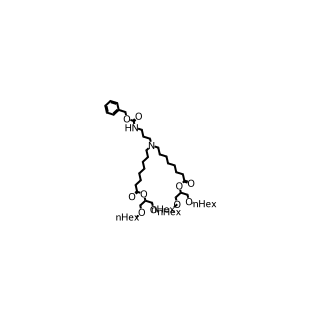 CCCCCCOCC(COCCCCCC)OC(=O)CCCCCCCN(CCCCCCCC(=O)OC(COCCCCCC)COCCCCCC)CCCNC(=O)OCc1ccccc1